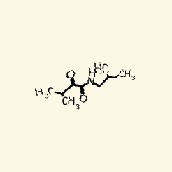 CCC(O)CNC(=O)C(=O)C(C)C